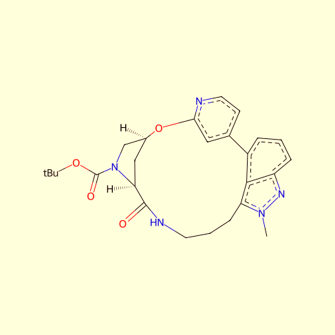 Cn1nc2cccc3c2c1CCCNC(=O)[C@@H]1C[C@@H](CN1C(=O)OC(C)(C)C)Oc1cc-3ccn1